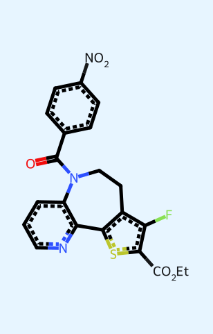 CCOC(=O)c1sc2c(c1F)CCN(C(=O)c1ccc([N+](=O)[O-])cc1)c1cccnc1-2